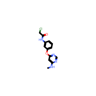 CNc1cc(Oc2cccc(NC(=O)CCl)c2)ncn1